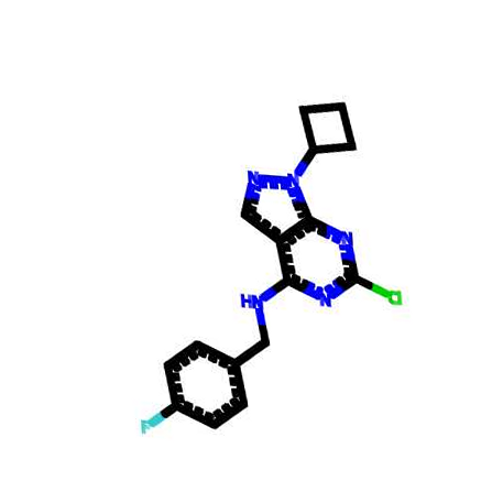 Fc1ccc(CNc2nc(Cl)nc3c2cnn3C2CCC2)cc1